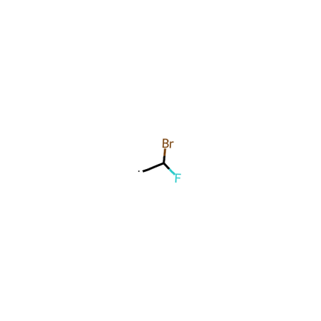 [CH2]C(F)Br